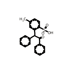 Cc1ccc(S(=O)(=O)O)c(C(C(=O)c2ccccc2)c2ccccc2)c1